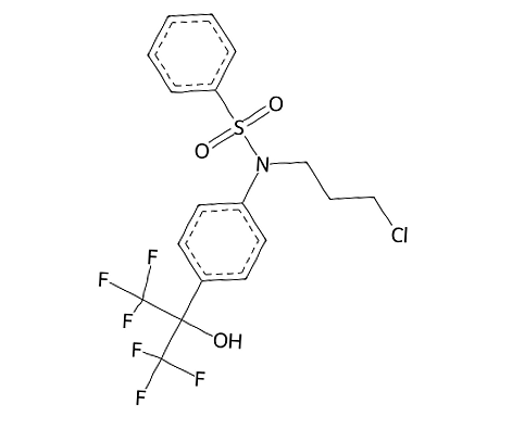 O=S(=O)(c1ccccc1)N(CCCCl)c1ccc(C(O)(C(F)(F)F)C(F)(F)F)cc1